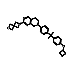 CC(C)(c1ccc(OC2CCC2)cc1)c1ccc(N2CCc3cnc(N4CC5(COC5)C4)nc3C2)cc1